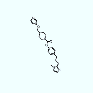 Cn1ccnc1SCCc1ccc(OC(=O)N2CCC(COn3ccnc3)CC2)cc1